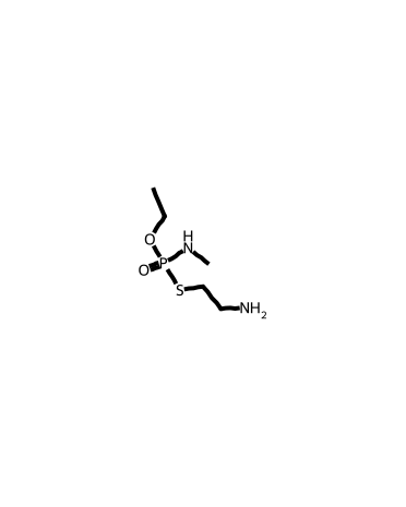 CCOP(=O)(NC)SCCN